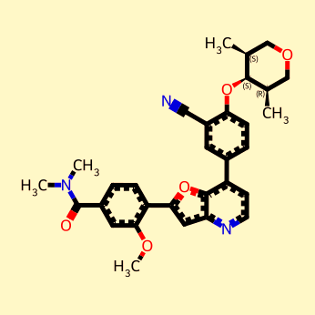 COc1cc(C(=O)N(C)C)ccc1-c1cc2nccc(-c3ccc(O[C@@H]4[C@H](C)COC[C@@H]4C)c(C#N)c3)c2o1